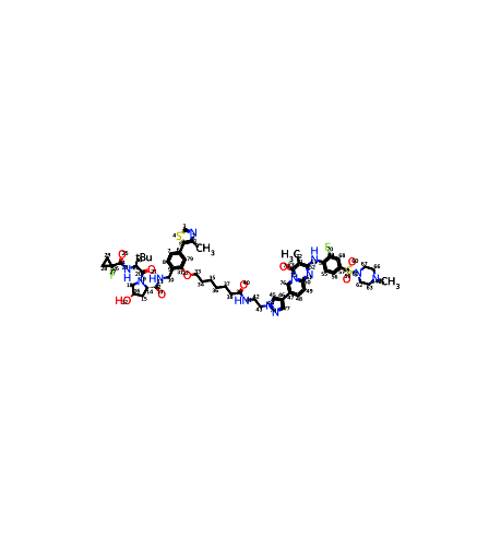 Cc1ncsc1-c1ccc(CNC(=O)[C@@H]2C[C@@H](O)CN2C(=O)[C@@H](NC(=O)C2(F)CC2)C(C)(C)C)c(OCCCCCCC(=O)NCCn2cc(-c3ccc4nc(Nc5ccc(S(=O)(=O)N6CCN(C)CC6)cc5F)c(C)c(=O)n4c3)cn2)c1